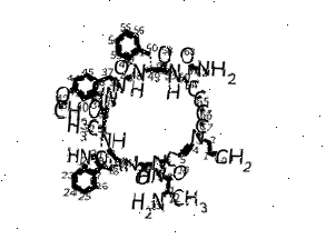 C=CCN1C#CCN(NC(=O)[C@@H](C)N)C(=O)N[C@H](Cc2c[nH]c3ccccc23)C(=O)N[C@@H](C)C(=O)NN(Cc2ccc(OC)cc2)C(=O)N[C@H](Cc2ccccc2)C(=O)N[C@H](C(N)=O)CCCC1